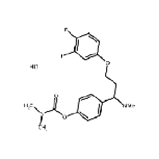 CNC(CCOc1ccc(F)c(F)c1)c1ccc(OC(=O)N(C)C)cc1.Cl